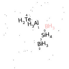 B.[AlH3].[BiH3].[SiH4].[TeH2]